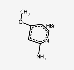 Br.COc1ccnc(N)c1